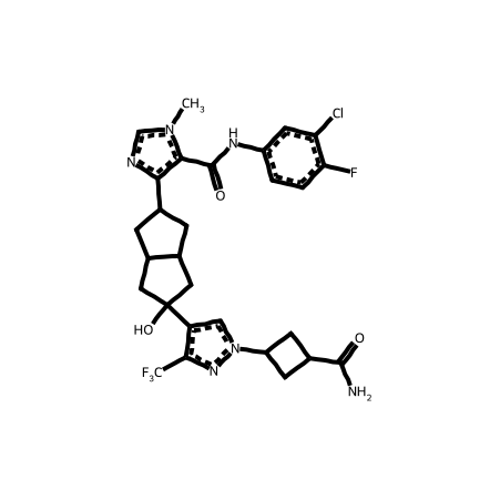 Cn1cnc(C2CC3CC(O)(c4cn(C5CC(C(N)=O)C5)nc4C(F)(F)F)CC3C2)c1C(=O)Nc1ccc(F)c(Cl)c1